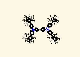 [2H]c1c([2H])c([2H])c(-c2ccc(N(c3ccc(-c4ccc(N(c5ccc(-c6c([2H])c([2H])c([2H])c([2H])c6[2H])cc5)c5ccc(-c6c([2H])c([2H])c([2H])c([2H])c6[2H])cc5)cc4)cc3)c3ccc(-c4c([2H])c([2H])c([2H])c([2H])c4[2H])cc3)cc2)c([2H])c1[2H]